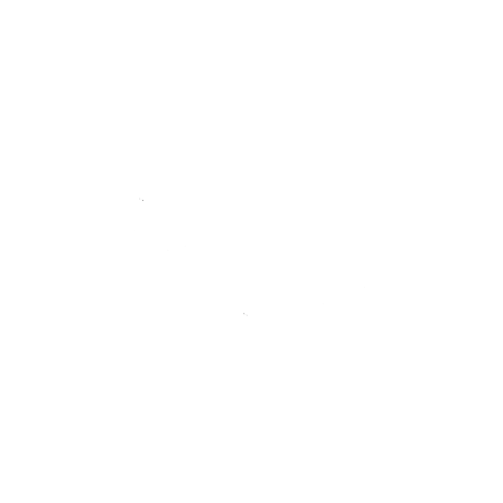 Cc1cccc(-n2c3ccccc3c3cc(-c4ccc5c(c4)c4ccc(-c6cccc(-c7ccccc7)c6)cc4n5-c4ccccc4)ccc32)c1